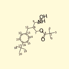 CC(C)(C)C(=O)OCC(CNO)Cc1ccc(C(C)(C)C)cc1